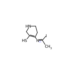 C/C(I)=N/C1=C(S)CNCC1